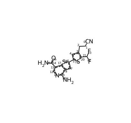 N#CCCc1cc(-c2cc3c(N)ncc(C(N)=O)c3s2)sc1C(F)F